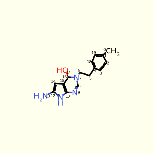 Cc1ccc(CCN2C=Nc3[nH]c(N)cc3C2O)cc1